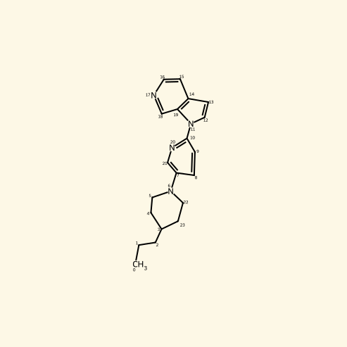 CCCC1CCN(c2ccc(-n3ccc4ccncc43)nc2)CC1